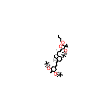 C=C1[C@H](O[Si](C)(C)C(C)(C)C)CC(=C/C=C2\CCC[C@]3(C)[C@@H]([C@H](C)/C=C/[C@@H](O[Si](C)(C)C(C)(C)C)C4(C(=O)OCCCC)CC4)CC[C@@H]23)C[C@H]1O[Si](C)(C)C(C)(C)C